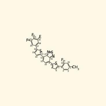 Cc1ccc(-c2ccc(-c3ccc(-c4ccc(-c5cc(F)c(F)c(F)c5)s4)c4nsnc34)s2)c(F)c1